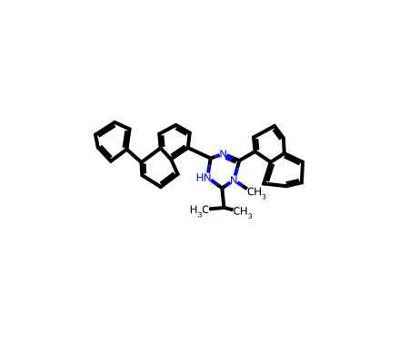 CC(C)C1NC(c2cccc3c(-c4ccccc4)cccc23)N=C(c2cccc3ccccc23)N1C